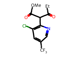 CCC(=O)C(C(=O)OC)c1ncc(C(F)(F)F)cc1Cl